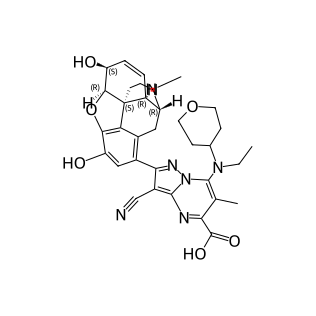 CCN(c1c(C)c(C(=O)O)nc2c(C#N)c(-c3cc(O)c4c5c3C[C@@H]3[C@@H]6C=C[C@H](O)[C@H](O4)[C@]56CCN3C)nn12)C1CCOCC1